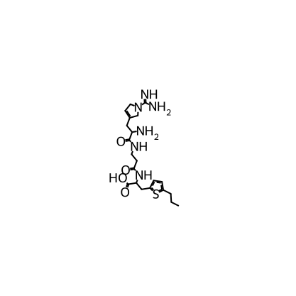 CCCc1ccc(CC(NC(=O)CCNC(=O)C(N)CC2=CCN(C(=N)N)C2)C(=O)O)s1